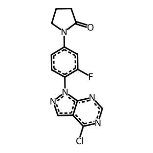 O=C1CCCN1c1ccc(-n2ncc3c(Cl)ncnc32)c(F)c1